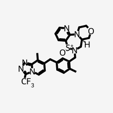 Cc1ccc(Cc2ccn3c(C(F)(F)F)nnc3c2C)cc1CN1C[C@@H]2COCCN2c2ncccc2[S+]1[O-]